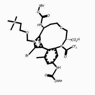 COC(=O)Nc1cc(C)c2c(c1)N(C(=O)C(F)(F)F)[C@@H](C(=O)O)CCCC[C@H](NC(=O)OC(C)(C)C)c1nc-2c(Br)n1COCC[Si](C)(C)C